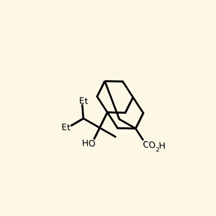 CCC(CC)C(C)(O)C12CC3CC(CC(C(=O)O)(C3)C1)C2